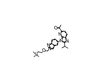 CC(=O)c1ccc2nc(C(C)C)n(-c3ccc4nn(COCC[Si](C)(C)C)cc4c3)c2n1